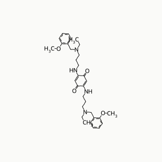 CCN(CCCNC1=CC(=O)C(NCCCN(CC)Cc2ccccc2OC)=CC1=O)Cc1ccccc1OC